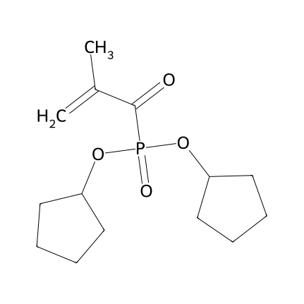 C=C(C)C(=O)P(=O)(OC1CCCC1)OC1CCCC1